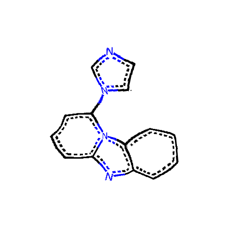 [c]1cncn1-c1cccc2nc3ccccc3n12